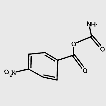 [NH]C(=O)OC(=O)c1ccc([N+](=O)[O-])cc1